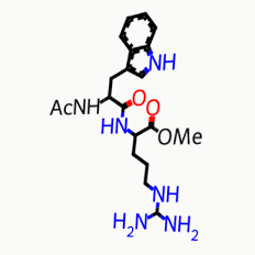 COC(=O)C(CCCNC(N)N)NC(=O)C(Cc1c[nH]c2ccccc12)NC(C)=O